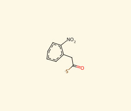 O=C([S])Cc1ccccc1[N+](=O)[O-]